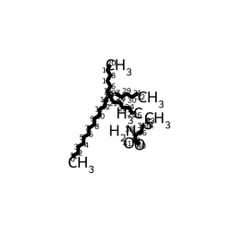 CCCCCCCCCCCCCC[P+](CCCCCC)(CCCCCC)CCCCCC.CSCCC(N)C(=O)[O-]